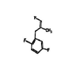 C/C(=C/F)Cc1cc(F)ccc1F